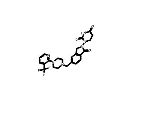 O=C1CCN(N2Cc3cc(CN4CCN(c5ncccc5C(F)(F)F)CC4)ccc3C2=O)C(=O)N1